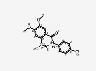 COc1cc(C(=O)Nc2ccc(Cl)cc2)c([N+](=O)[O-])cc1OC